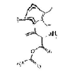 C=C(c1c(F)ccc(C)c1C)[C@H](N)C(=N)OC(N)=O